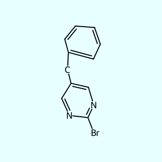 Brc1ncc(Cc2ccccc2)cn1